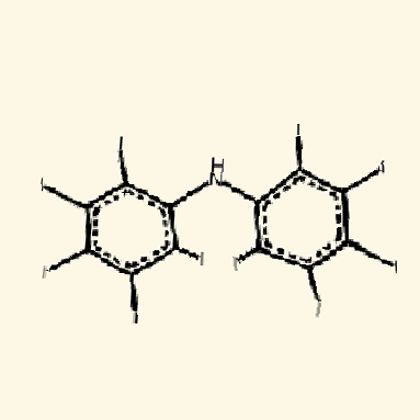 Ic1c(I)c(I)c(Nc2c(I)c(I)c(I)c(I)c2I)c(I)c1I